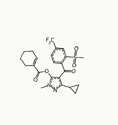 Cn1nc(C2CC2)c(C(=O)c2ccc(C(F)(F)F)cc2S(C)(=O)=O)c1OC(=O)C1=CCCCC1